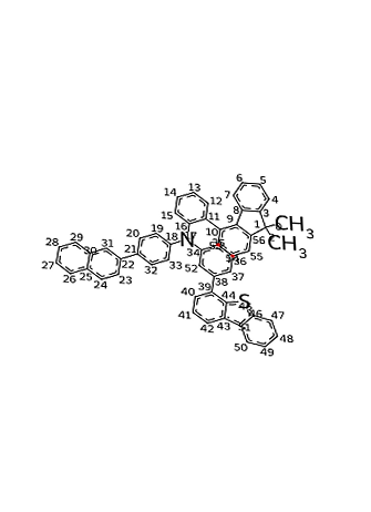 CC1(C)c2ccccc2-c2c(-c3ccccc3N(c3ccc(-c4ccc5ccccc5c4)cc3)c3cccc(-c4cccc5c4sc4ccccc45)c3)cccc21